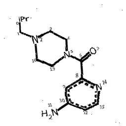 C[C](C)CN1CCN(C(=O)c2cc(N)ccn2)CC1